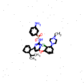 CC(C)c1ccccc1-c1cc(Oc2cccc(N3CCN(C)CC3)c2Cl)nc(NS(=O)(=O)c2cccc(N)c2)n1